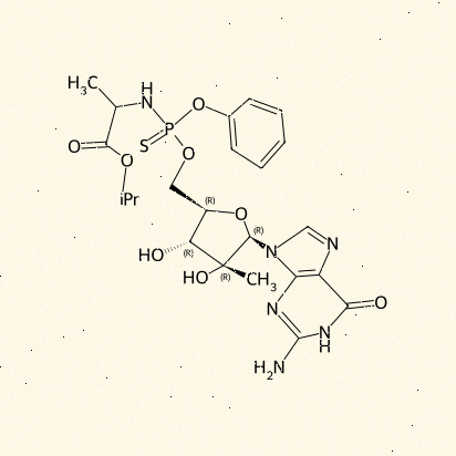 CC(C)OC(=O)C(C)NP(=S)(OC[C@H]1O[C@@H](n2cnc3c(=O)[nH]c(N)nc32)[C@](C)(O)[C@@H]1O)Oc1ccccc1